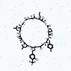 CC[C@H](C)[C@@H]1NC(=O)[C@H](C)N(C)C(=O)C[C@@H](C)N(C)C(=O)[C@H](CC(C)C)NC(=O)C(C)(C)N(C)C(=O)C(CC(C)C)NC(=O)[C@H](CCc2ccc(C(F)(F)F)c(Cl)c2)NC(=O)[C@@H](C)N(C)C(=O)[C@H](Cc2ccc(C)cc2)N(C)C(=O)[C@@H]2CCN2C(=O)CN(C)C1=O